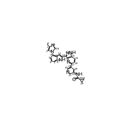 Cc1cn(-c2cccc3[nH]c(-c4n[nH]c5ccc(-c6cncc(NC(=O)C7CC7)c6)nc45)cc23)cn1